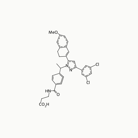 COc1ccc2c(c1)CCC(c1cc(-c3cc(Cl)cc(Cl)c3)nn1C(C)C1=C=C=C(C(=O)NCCC(=O)O)C=C1)=C2